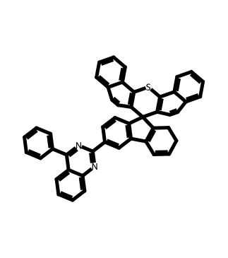 C1=CC2=C(CC1)C1(c3ccc(-c4nc(-c5ccccc5)c5ccccc5n4)cc32)c2ccc3ccccc3c2Sc2c1ccc1ccccc21